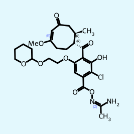 CO/C1=C/C(=O)C[C@@H](C)[C@H](C(=O)c2c(OCCOC3CCCCO3)cc(C(=O)O/N=C(/C)N)c(Cl)c2O)CC1